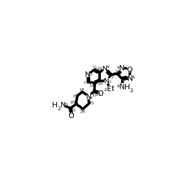 CCn1c(-c2nonc2N)nc2cncc(C(=O)N3CCC(C(N)=O)CC3)c21